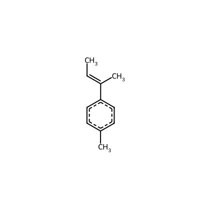 CC=C(C)c1ccc(C)cc1